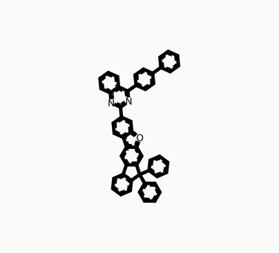 c1ccc(-c2ccc(-c3nc(-c4ccc5c(c4)oc4cc6c(cc45)-c4ccccc4C6(c4ccccc4)c4ccccc4)nc4ccccc34)cc2)cc1